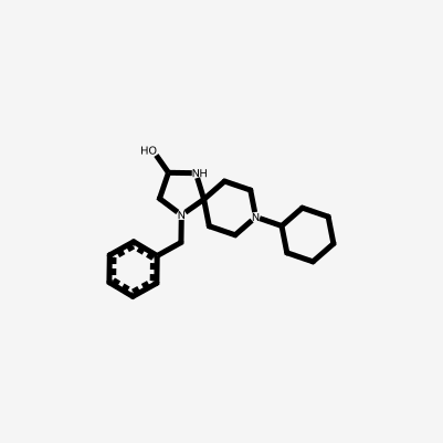 OC1CN(Cc2ccccc2)C2(CCN(C3CCCCC3)CC2)N1